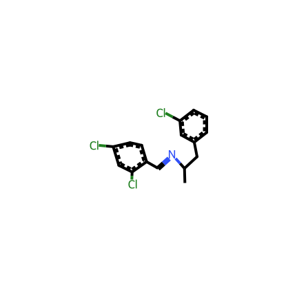 CC(Cc1cccc(Cl)c1)N=Cc1ccc(Cl)cc1Cl